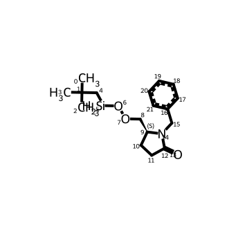 CC(C)(C)C[SiH2]OOC[C@@H]1CCC(=O)N1Cc1ccccc1